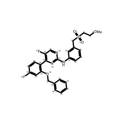 COCCS(=O)(=O)Cc1cccc(Nc2ncc(F)c(-c3ccc(F)cc3OCc3ccccc3)n2)c1